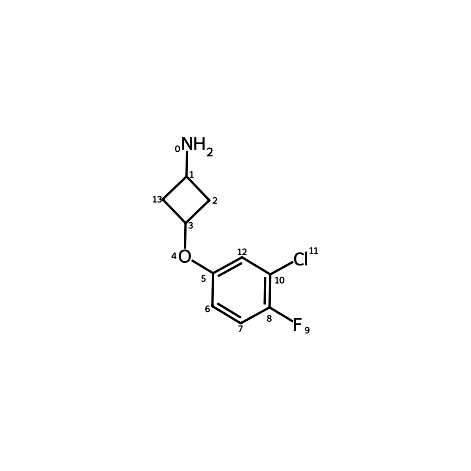 NC1CC(Oc2ccc(F)c(Cl)c2)C1